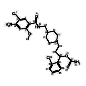 COc1cc(N)c(Cl)cc1C(=O)NCC1CCN(CCC(OC(N)=O)c2ccccc2Cl)CC1